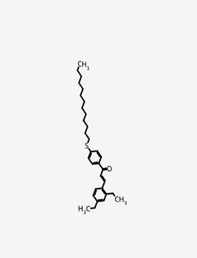 CCCCCCCCCCCCCSc1ccc(C(=O)/C=C/c2ccc(CC)cc2CC)cc1